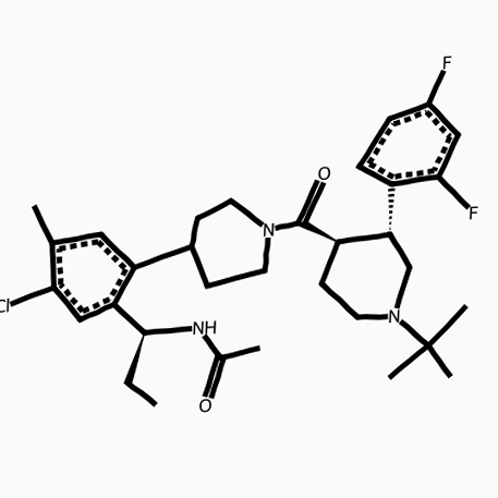 CC[C@H](NC(C)=O)c1cc(Cl)c(C)cc1C1CCN(C(=O)[C@@H]2CCN(C(C)(C)C)C[C@H]2c2ccc(F)cc2F)CC1